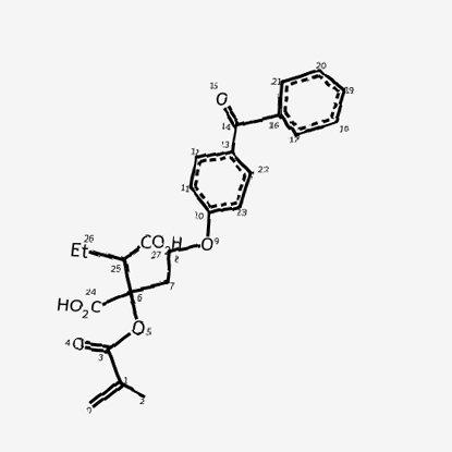 C=C(C)C(=O)OC(CCOc1ccc(C(=O)c2ccccc2)cc1)(C(=O)O)C(CC)C(=O)O